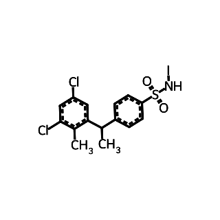 Cc1c(Cl)cc(Cl)cc1C(C)c1ccc(S(=O)(=O)NI)cc1